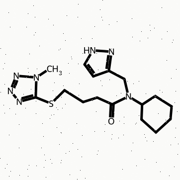 Cn1nnnc1SCCCC(=O)N(Cc1cc[nH]n1)C1CCCCC1